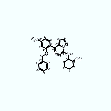 OC1CCCCC1Nc1nnc(-c2ccc(C(F)(F)F)cc2OCc2ccccc2)c2ccnn12